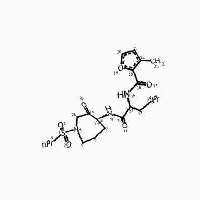 CCCS(=O)(=O)N1CCC[C@H](NC(=O)C(CC(C)C)NC(=O)c2occc2C)C(=O)C1